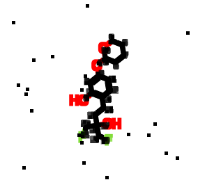 Oc1cc(OC2CCCCO2)ccc1CCC(O)(CF)CF